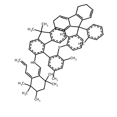 C=C/C=C1\C(=C/Nc2ccc3c(c2-c2cc(C)cc(C)c2Sc2cccc(C4(c5ccccc5C)C5=CCCC=C5C5=C4C=CCC5)c2C)-c2ccccc2C3(C)C)C(C)(C)CC(C)C1(C)C